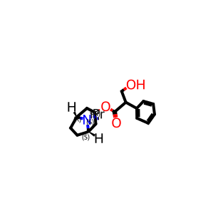 CC(C)[N@+]1(C)[C@@H]2CC[C@H]1C[C@@H](OC(=O)C(CO)c1ccccc1)C2